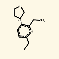 CCc1ccc([C@@H]2CCOC2)c(CN)n1